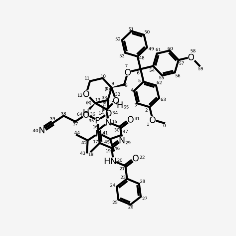 COc1ccc(C(OC[C@@]23CCO[C@@H]([C@H](n4cc(C)c(NC(=O)c5ccccc5)nc4=O)O2)[C@@H]3OP(OCCC#N)N(C(C)C)C(C)C)(c2ccccc2)c2ccc(OC)cc2)cc1